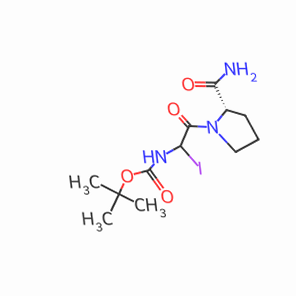 CC(C)(C)OC(=O)NC(I)C(=O)N1CCC[C@H]1C(N)=O